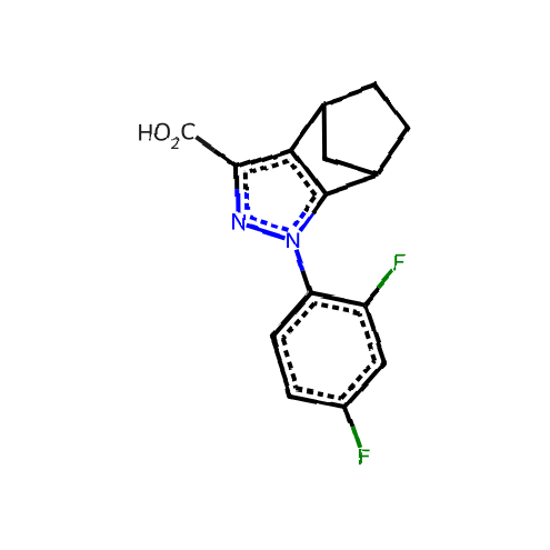 O=C(O)c1nn(-c2ccc(F)cc2F)c2c1C1CCC2C1